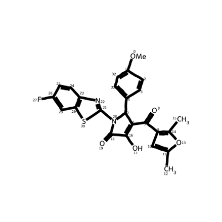 COc1ccc(C2C(C(=O)c3cc(C)oc3C)=C(O)C(=O)N2c2nc3ccc(F)cc3s2)cc1